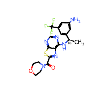 C[C@@H](Nc1ncnc2sc(C(=O)N3CCOCC3)nc12)c1cc(N)cc(C(F)(F)F)c1